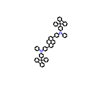 c1ccc(N(c2ccc(-c3ccc4ccc5c(-c6ccc(N(c7ccccc7)c7ccc(C8(c9ccccc9)c9ccccc9-c9ccccc98)cc7)cc6)ccc6ccc3c4c65)cc2)c2ccc(C3(c4ccccc4)c4ccccc4-c4ccccc43)cc2)cc1